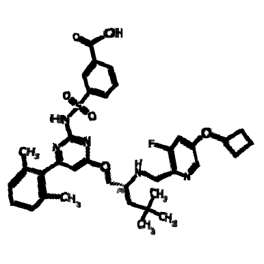 Cc1cccc(C)c1-c1cc(OC[C@@H](CC(C)(C)C)NCc2ncc(OC3CCC3)cc2F)nc(NS(=O)(=O)c2cccc(C(=O)O)c2)n1